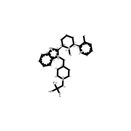 Cc1cccnc1[C@@H]1CCC[C@H](c2nc3ccccc3n2CC2CCN(CC(F)(F)F)CC2)N1C